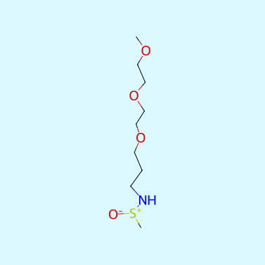 COCCOCCOCCCN[S+](C)[O-]